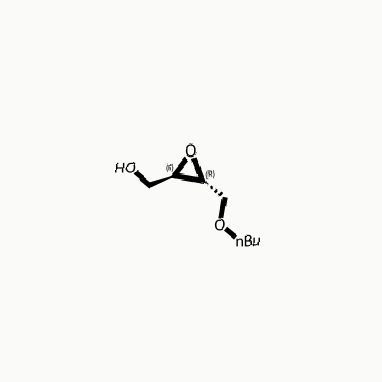 CCCCOC[C@H]1O[C@@H]1CO